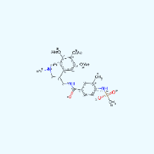 CCCN(CCC)CC(CNC(=O)c1ccc(NS(C)(=O)=O)c(C)c1)c1cc(OC)c(OC)c(OC)c1